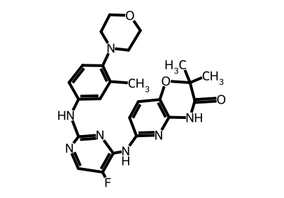 Cc1cc(Nc2ncc(F)c(Nc3ccc4c(n3)NC(=O)C(C)(C)O4)n2)ccc1N1CCOCC1